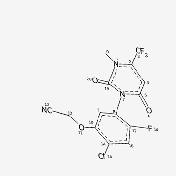 Cn1c(C(F)(F)F)cc(=O)n(-c2cc(OCC#N)c(Cl)cc2F)c1=O